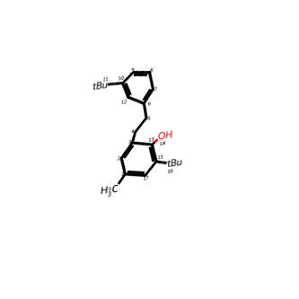 Cc1cc(CCc2cc[c]c(C(C)(C)C)c2)c(O)c(C(C)(C)C)c1